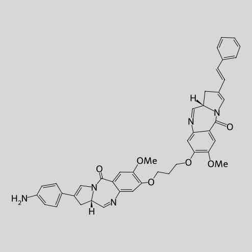 COc1cc2c(cc1OCCCOc1cc3c(cc1OC)C(=O)N1C=C(c4ccc(N)cc4)C[C@H]1C=N3)N=C[C@@H]1CC(/C=C/c3ccccc3)=CN1C2=O